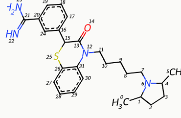 CC1CCC(C)N1CCCCCN1C(=O)C(c2cccc(C(=N)N)c2)Sc2ccccc21